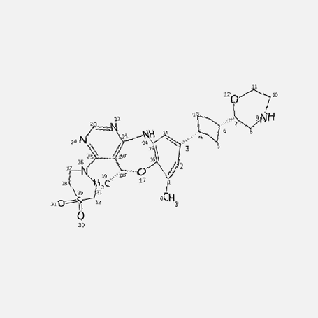 Cc1cc([C@H]2C[C@@H](C3CNCCO3)C2)cc2c1O[C@H](C)c1c(ncnc1N1CCS(=O)(=O)CC1)N2